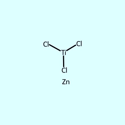 [Cl][Ti]([Cl])[Cl].[Zn]